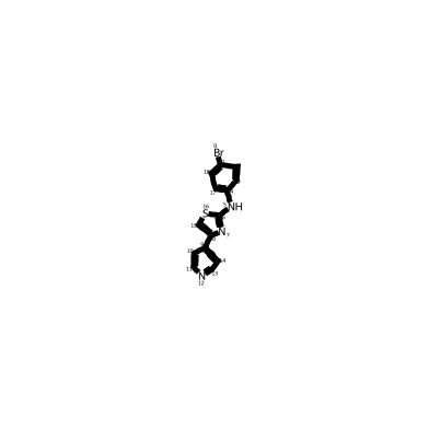 Brc1ccc(Nc2nc(-c3ccncc3)cs2)cc1